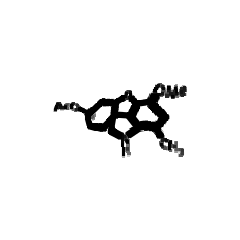 COc1cc(C)c2c3c1OC1C[C@H](OC(C)=O)C=CC31CN2